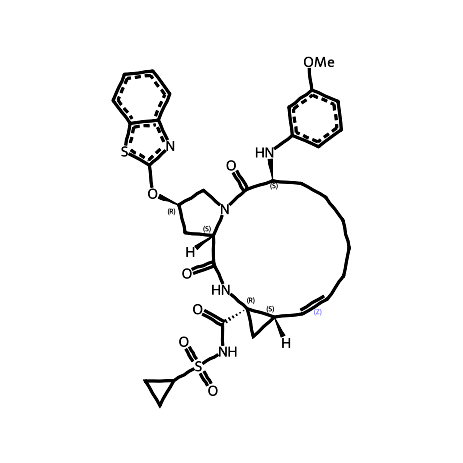 COc1cccc(N[C@H]2CCCCC/C=C\[C@@H]3C[C@@]3(C(=O)NS(=O)(=O)C3CC3)NC(=O)[C@@H]3C[C@@H](Oc4nc5ccccc5s4)CN3C2=O)c1